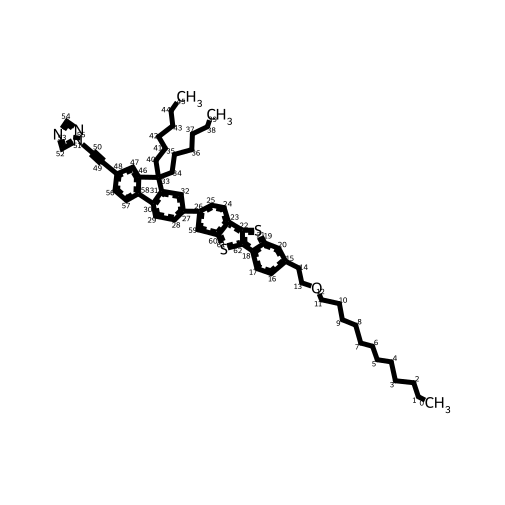 CCCCCCCCCCCCOCCc1ccc2c(c1)sc1c3ccc(-c4ccc5c(c4)C(CCCCCC)(CCCCCC)c4cc(C#Cn6cncn6)ccc4-5)cc3sc21